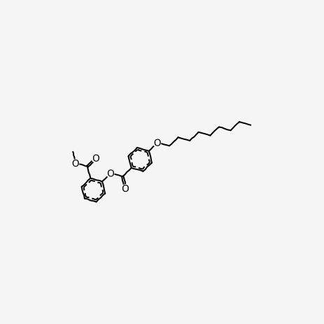 CCCCCCCCCOc1ccc(C(=O)Oc2ccccc2C(=O)OC)cc1